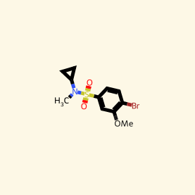 COc1cc(S(=O)(=O)N(C)C2CC2)ccc1Br